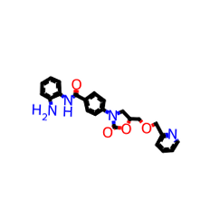 Nc1ccccc1NC(=O)c1ccc(N2CC(COCc3ccccn3)OC2=O)cc1